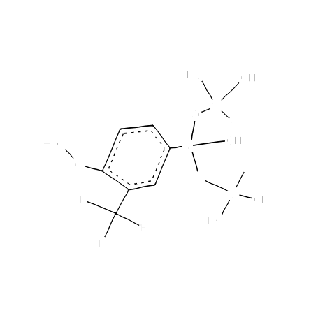 COc1ccc([Si](C)(O[Si](C)(C)C)O[Si](C)(C)C)cc1C(F)(F)F